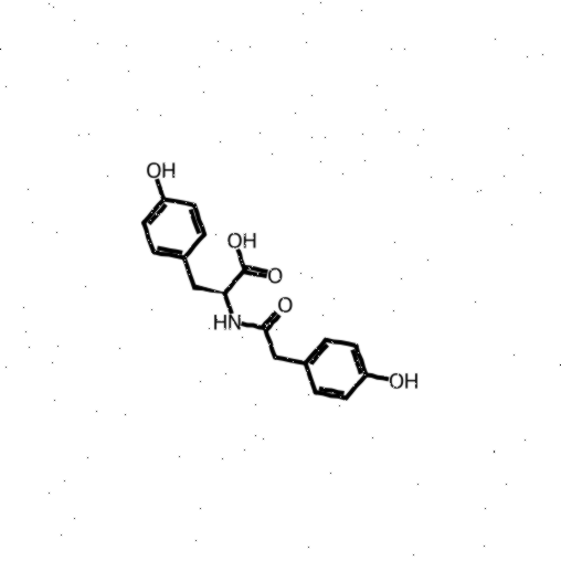 O=C(Cc1ccc(O)cc1)N[C@@H](Cc1ccc(O)cc1)C(=O)O